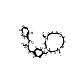 CN1CCCSCCCN(C)CCN(Cc2ccc(CN(C)Cc3ccccn3)cc2)CC1